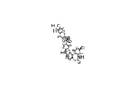 Cc1cc2cc(NS(=O)(=O)c3ccc(Nc4ncc5c(n4)-c4ccc(Cl)cc4NC(=O)C5)cc3)ccc2[nH]1